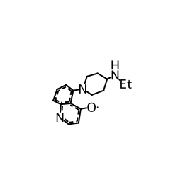 CCNC1CCN(c2cccc3nccc([O])c23)CC1